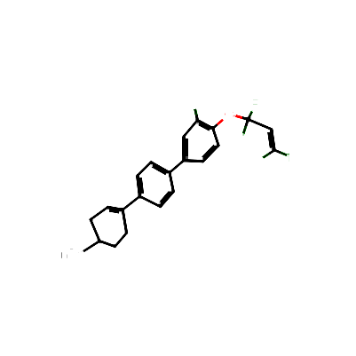 CCCC1CC=C(c2ccc(-c3ccc(OC(F)(F)C=C(F)F)c(F)c3)cc2)CC1